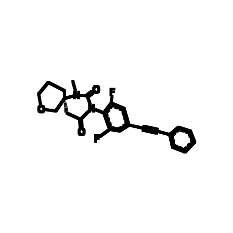 CN1C(=O)N(c2c(F)cc(C#Cc3ccccc3)cc2F)C(=O)C[C@]12CCCOC2